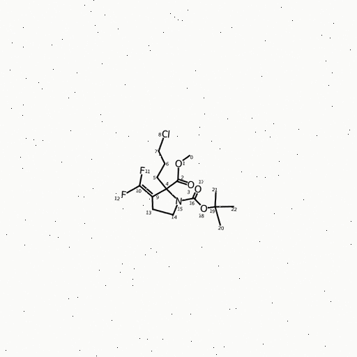 COC(=O)C1(CCCCl)C(=C(F)F)CCN1C(=O)OC(C)(C)C